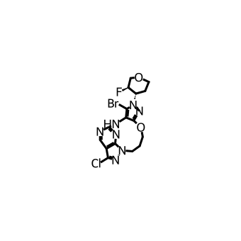 F[C@H]1COCC[C@@H]1n1nc2c(c1Br)Nc1ncc3c(Cl)nn(c3n1)CCCO2